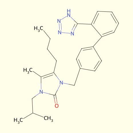 CCCCc1c(C)n(CC(C)C)c(=O)n1Cc1ccc(-c2ccccc2-c2nnn[nH]2)cc1